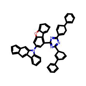 C1=CC(c2ccccc2)=CC(c2nc(C3=CCC(c4ccccc4)C=C3)nc(-c3cc(-n4c5ccccc5c5cc6ccccc6cc54)cc4oc5ccccc5c34)n2)C1